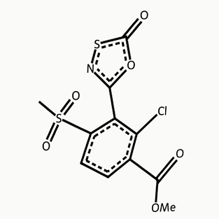 COC(=O)c1ccc(S(C)(=O)=O)c(-c2nsc(=O)o2)c1Cl